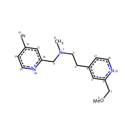 COCc1cc(CCN(C)Cc2cc(C(C)C)ccn2)ccn1